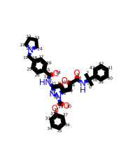 CC(C)(NC(=O)c1cc2c(o1)c(NC(=O)c1ccc(CN3CCCC3)cc1)nn2C(=O)Oc1ccccc1)c1ccccc1